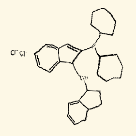 C1=CCC2CC[CH]([Ti+2][CH]3C(P(C4CCCCC4)C4CCCCC4)=Cc4ccccc43)C2=C1.[Cl-].[Cl-]